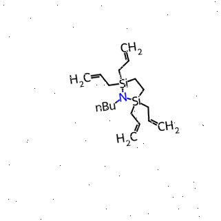 [CH2]CCCN1[Si](CC=C)(CC=C)CC[Si]1(CC=C)CC=C